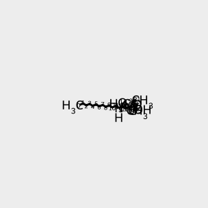 CCCCCCCCCCCCNC(=O)C[N+](C)(C)C(CC)S(=O)(=O)O